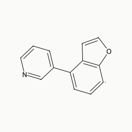 [c]1ccc(-c2cccnc2)c2ccoc12